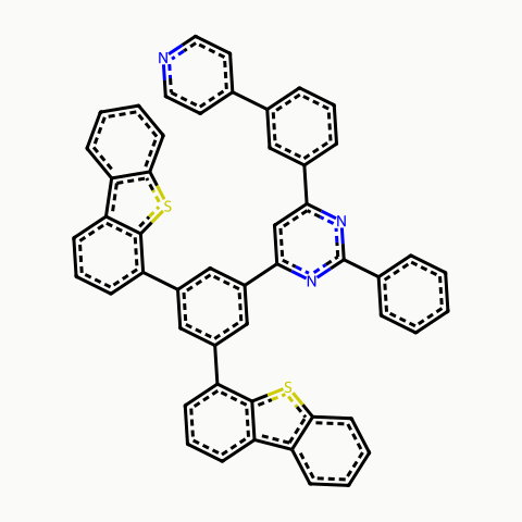 c1ccc(-c2nc(-c3cccc(-c4ccncc4)c3)cc(-c3cc(-c4cccc5c4sc4ccccc45)cc(-c4cccc5c4sc4ccccc45)c3)n2)cc1